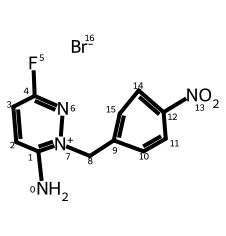 Nc1ccc(F)n[n+]1Cc1ccc([N+](=O)[O-])cc1.[Br-]